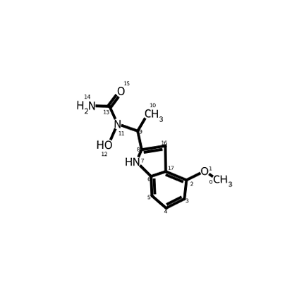 COc1cccc2[nH]c(C(C)N(O)C(N)=O)cc12